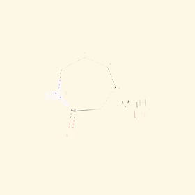 Br.O=C1CCCCCN1.[MgH2]